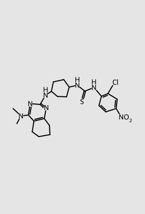 CN(C)c1nc(NC2CCC(NC(=S)Nc3ccc([N+](=O)[O-])cc3Cl)CC2)nc2c1CCCC2